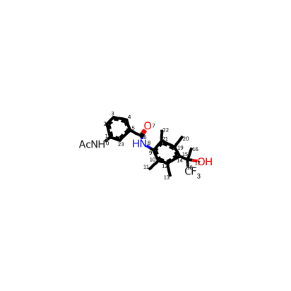 CC(=O)Nc1cccc(C(=O)Nc2c(C)c(C)c(C(C)(O)C(F)(F)F)c(C)c2C)c1